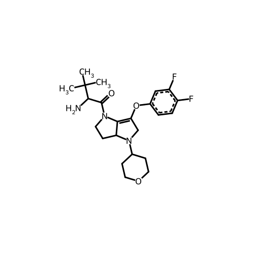 CC(C)(C)C(N)C(=O)N1CCC2C1=C(Oc1ccc(F)c(F)c1)CN2C1CCOCC1